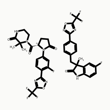 CC1(C)C(=O)NCCN1C(=O)[C@@H]1CCC(=O)N1c1ccc(-c2noc(C(F)(F)F)n2)c(F)c1.CC1(Cc2ccc(-c3noc(C(F)(F)F)n3)cc2)C(=O)Nc2ccc(F)cc21